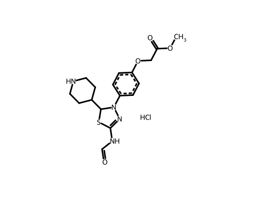 COC(=O)COc1ccc(N2N=C(NC=O)SC2C2CCNCC2)cc1.Cl